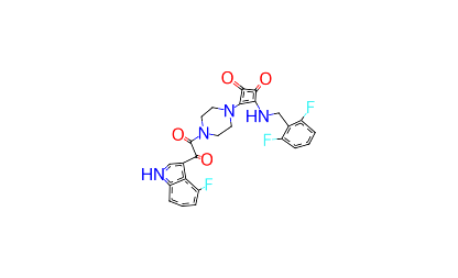 O=C(C(=O)N1CCN(c2c(NCc3c(F)cccc3F)c(=O)c2=O)CC1)c1c[nH]c2cccc(F)c12